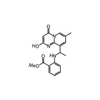 COC(=O)c1ccccc1NC(C)c1cc(C)cn2c(=O)cc(O)nc12